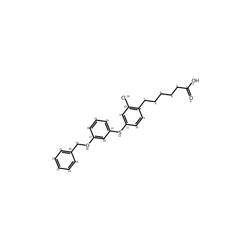 O=C(O)CCCCCc1ccc(Sc2cccc(OCc3ccccc3)c2)cc1Cl